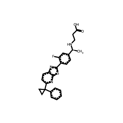 C[C@H](NCCC(=O)O)c1ccc(-c2nc3ccc(C4(c5ccccc5)CC4)nc3s2)c(F)c1